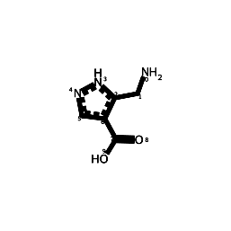 NCc1[nH]ncc1C(=O)O